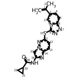 C=C(C)c1ccc2nnc(Sc3ccc4nc(NC(=O)C5CC5)cn4n3)n2c1